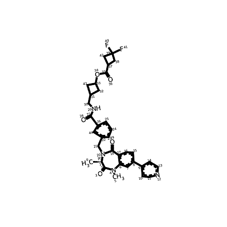 C[C@@H]1C(=O)N(C)c2cc(-c3ccncc3)ccc2C(=O)N1Cc1cccc(C(=O)NCC2CC(OC(=O)C3CC(F)(F)C3)C2)c1